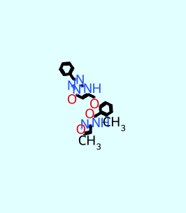 Cc1cc(NC(=O)c2c(C)cccc2OCc2cc(=O)n3nc(-c4ccccc4)nc3[nH]2)no1